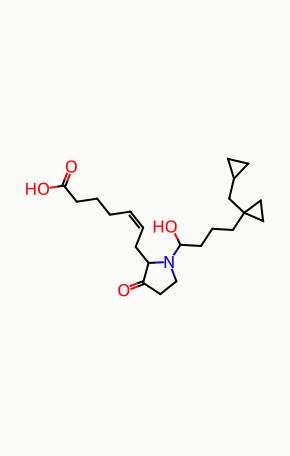 O=C(O)CCC/C=C\CC1C(=O)CCN1C(O)CCCC1(CC2CC2)CC1